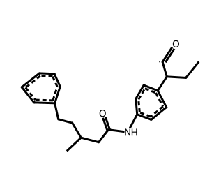 CCC([C]=O)c1ccc(NC(=O)CC(C)CCc2ccccc2)cc1